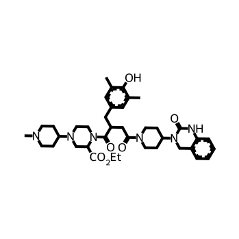 CCOC(=O)C1CN(C2CCN(C)CC2)CCN1C(=O)C(CC(=O)N1CCC(N2Cc3ccccc3NC2=O)CC1)Cc1cc(C)c(O)c(C)c1